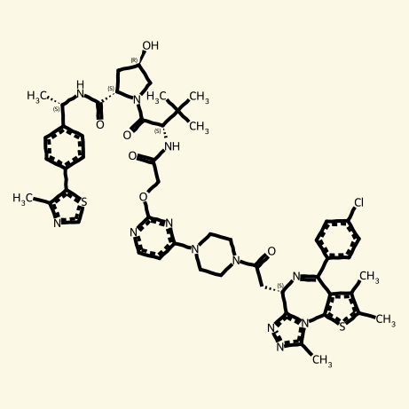 Cc1ncsc1-c1ccc([C@H](C)NC(=O)[C@@H]2C[C@@H](O)CN2C(=O)[C@@H](NC(=O)COc2nccc(N3CCN(C(=O)C[C@@H]4N=C(c5ccc(Cl)cc5)c5c(sc(C)c5C)-n5c(C)nnc54)CC3)n2)C(C)(C)C)cc1